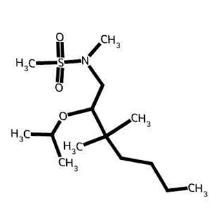 CCCCC(C)(C)C(CN(C)S(C)(=O)=O)OC(C)C